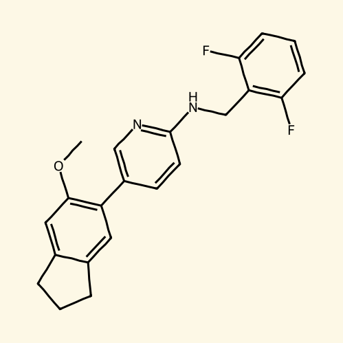 COc1cc2c(cc1-c1ccc(NCc3c(F)cccc3F)nc1)CCC2